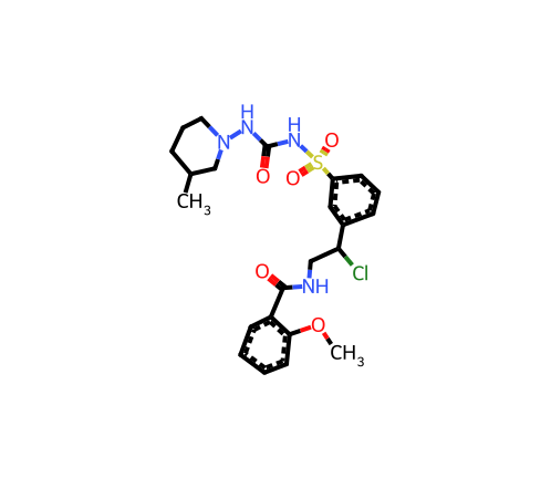 COc1ccccc1C(=O)NCC(Cl)c1cccc(S(=O)(=O)NC(=O)NN2CCCC(C)C2)c1